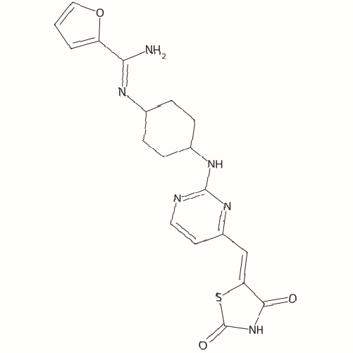 NC(=NC1CCC(Nc2nccc(/C=C3\SC(=O)NC3=O)n2)CC1)c1ccco1